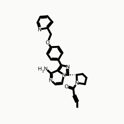 CC#CC(=O)N1CCC[C@H]1c1nc(-c2ccc(OCc3ccccn3)cc2)c2c(N)nccn12